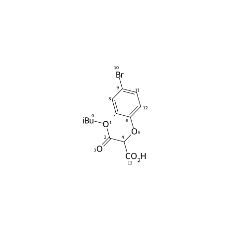 CCC(C)OC(=O)C(Oc1ccc(Br)cc1)C(=O)O